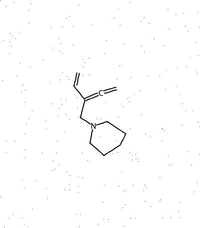 C=C=C(C=C)CN1CCCCC1